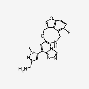 Cn1nc(CN)cc1-c1cc2c(n3cnnc13)NCc1c(F)ccc3c1[C@H](CO3)CO2